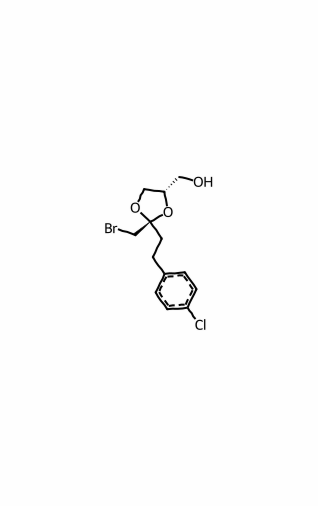 OC[C@H]1CO[C@@](CBr)(CCc2ccc(Cl)cc2)O1